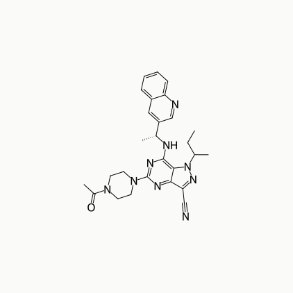 CCC(C)n1nc(C#N)c2nc(N3CCN(C(C)=O)CC3)nc(N[C@H](C)c3cnc4ccccc4c3)c21